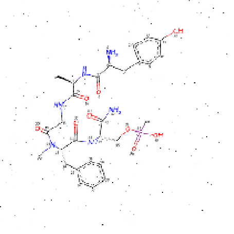 C[C@@H](NC(=O)[C@@H](N)Cc1ccc(O)cc1)C(=O)NCC(=O)N(C)[C@@H](Cc1ccccc1)C(=O)N[C@@H](COP(C)(=O)O)C(N)=O